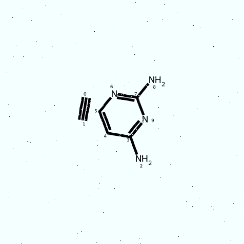 C#C.Nc1ccnc(N)n1